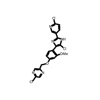 COc1cc(OCc2cnc(Cl)cn2)ccc1-c1nc(-c2ccc(Cl)nc2)[nH]c1Cl